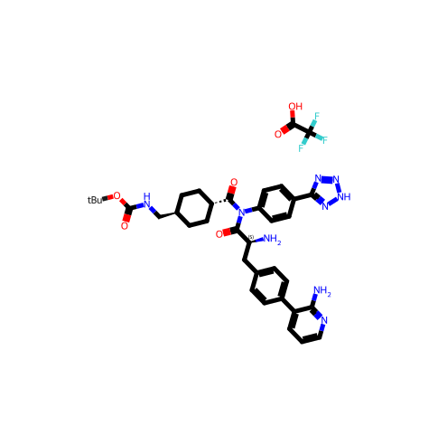 CC(C)(C)OC(=O)NC[C@H]1CC[C@H](C(=O)N(C(=O)[C@@H](N)Cc2ccc(-c3cccnc3N)cc2)c2ccc(-c3nn[nH]n3)cc2)CC1.O=C(O)C(F)(F)F